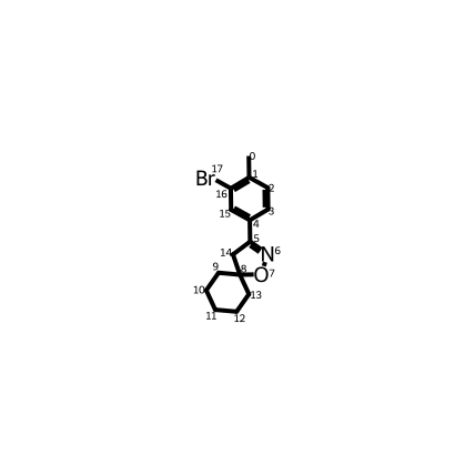 Cc1ccc(C2=NOC3(CCCCC3)C2)cc1Br